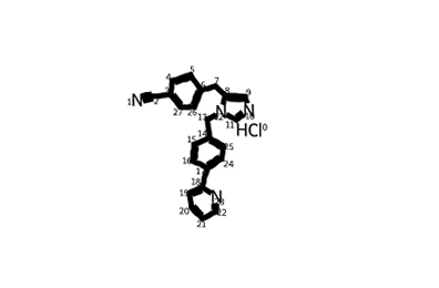 Cl.N#Cc1ccc(Cc2cncn2Cc2ccc(-c3ccccn3)cc2)cc1